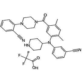 Cc1cc(C)c(N(c2cccc(C#N)c2)C2CCNCC2)cc1C(=O)N1CCN(c2ccccc2C#N)CC1.O=C(O)C(F)(F)F